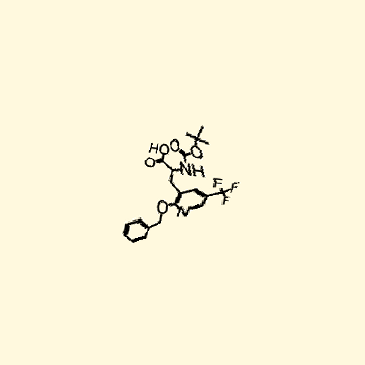 CC(C)(C)OC(=O)N[C@@H](Cc1cc(C(F)(F)F)cnc1OCc1ccccc1)C(=O)O